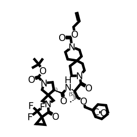 C=CCOC(=O)N1CCC2(CC1)CCN(C(=O)[C@@H](NC(=O)[C@@H]1CN(C(=O)OC(C)(C)C)CC13CN(C(=O)C1(C(F)(F)F)CC1)C3)[C@@H](C)OCC13CCC(CC1)OC3)CC2